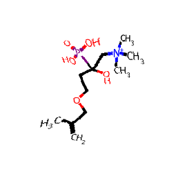 C=C(C)COCCC(O)(C[N+](C)(C)C)P(=O)(O)O